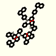 c1cc(-c2ccccc2-c2cccc3c(-c4cccc5c4sc4c(-c6ccccc6N(c6ccc(-c7cccc8ccccc78)cc6)c6cccc(-c7ccc(-c8cccc9ccccc89)cc7)c6)cccc45)cccc23)cc(N(c2ccc(-c3cccc4ccccc34)cc2)c2ccccc2-c2cccc3c2sc2ccccc23)c1